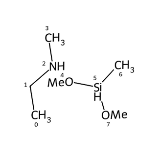 CCNC.CO[SiH](C)OC